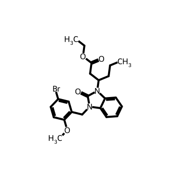 CCCC(CC(=O)OCC)n1c(=O)n(Cc2cc(Br)ccc2OC)c2ccccc21